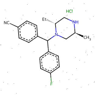 CC[C@@H]1CN[C@@H](C)CN1C(c1ccc(F)cc1)c1ccc(C#N)cc1.Cl